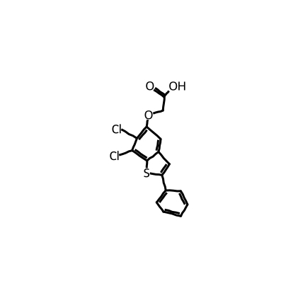 O=C(O)COc1cc2cc(-c3ccccc3)sc2c(Cl)c1Cl